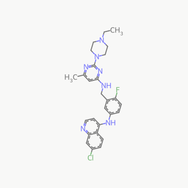 CCN1CCN(c2nc(C)cc(NCc3cc(Nc4ccnc5cc(Cl)ccc45)ccc3F)n2)CC1